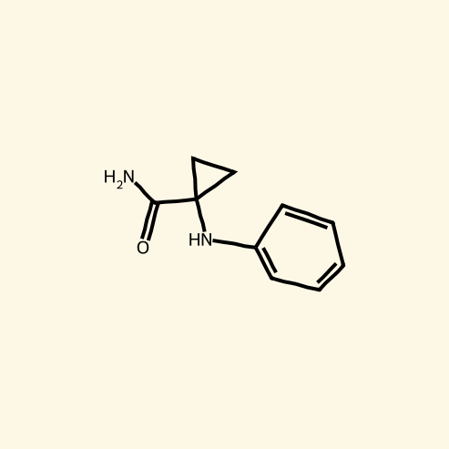 NC(=O)C1(Nc2ccccc2)CC1